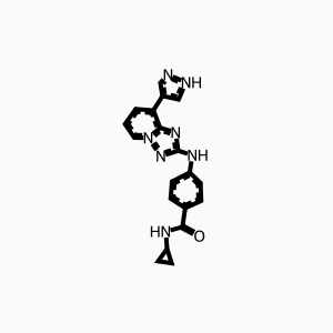 O=C(NC1CC1)c1ccc(Nc2nc3c(-c4cn[nH]c4)cccn3n2)cc1